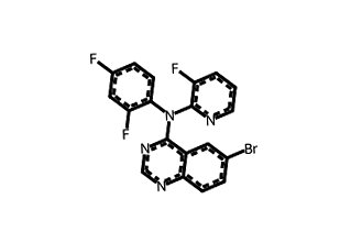 Fc1ccc(N(c2ncccc2F)c2ncnc3ccc(Br)cc23)c(F)c1